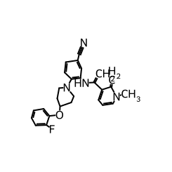 C=C(Nc1cc(C#N)ccc1N1CCC(Oc2ccccc2F)CC1)C1=CC=CN(C)C1=C